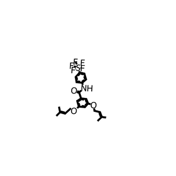 CC(C)=CCOc1cc(OCC=C(C)C)cc(C(=O)Nc2ccc(S(F)(F)(F)(F)F)cc2)c1